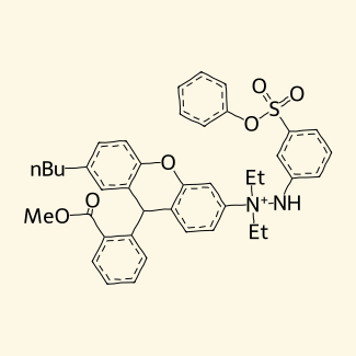 CCCCc1ccc2c(c1)C(c1ccccc1C(=O)OC)c1ccc([N+](CC)(CC)Nc3cccc(S(=O)(=O)Oc4ccccc4)c3)cc1O2